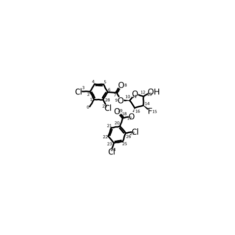 Cc1c(Cl)ccc(C(=O)O[C@H]2OC(O)[C@@H](F)[C@@H]2OC(=O)c2ccc(Cl)cc2Cl)c1Cl